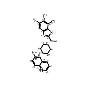 CC(c1nc2cc(F)c(F)c(Cl)c2[nH]1)[C@H]1CC[C@@H](c2c(F)ccc3ncccc32)CC1